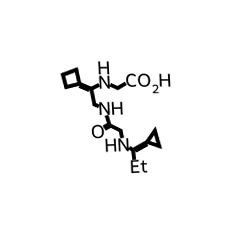 CCC(NCC(=O)NCC(NCC(=O)O)=C1CCC1)=C1CC1